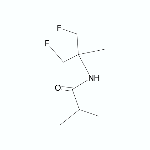 CC(C)C(=O)NC(C)(CF)CF